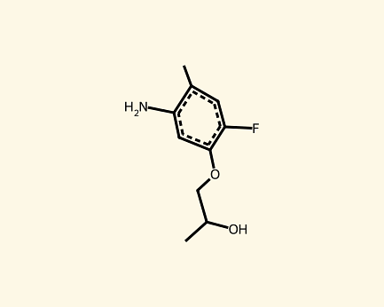 Cc1cc(F)c(OCC(C)O)cc1N